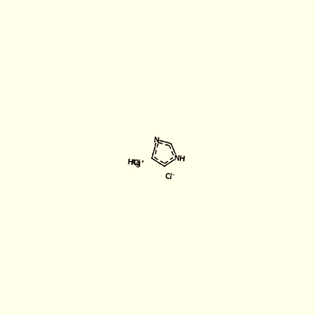 Cl.[Ag+].[Cl-].c1c[nH]cn1